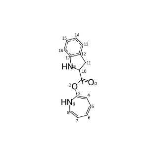 O=C(OC1=CC=CC=CN1)C1Cc2ccccc2N1